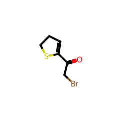 O=C(CBr)C1=CCCS1